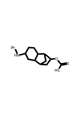 CC(C)NC1CCC2C(C1)C1CC(OC(=S)S)C2C1